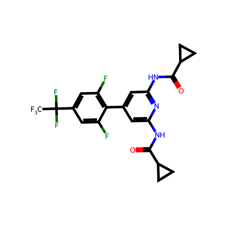 O=C(Nc1cc(-c2c(F)cc(C(F)(F)C(F)(F)F)cc2F)cc(NC(=O)C2CC2)n1)C1CC1